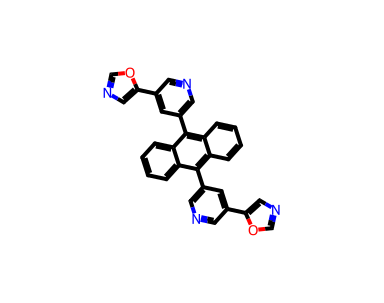 c1ccc2c(-c3cncc(-c4cnco4)c3)c3ccccc3c(-c3cncc(-c4cnco4)c3)c2c1